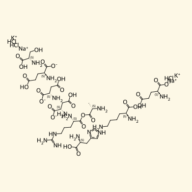 C[C@H](N)C(=O)OC(=O)[C@@H](N)CCCNC(=N)N.Cl.Cl.Cl.NCCCC[C@H](N)C(=O)O.N[C@@H](CC(=O)O)C(=O)[O-].N[C@@H](CC(=O)O)C(=O)[O-].N[C@@H](CCC(=O)O)C(=O)[O-].N[C@@H](CCC(=O)O)C(=O)[O-].N[C@@H](CO)C(=O)O.N[C@@H](Cc1c[nH]cn1)C(=O)O.[K+].[K+].[Na+].[Na+]